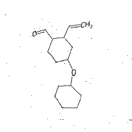 C=CC1CC(OC2CCCCC2)CCC1C=O